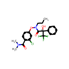 CCCN(Oc1ccc(C(=O)N(C)C)c(Cl)c1)C(=O)[C@](O)(c1ccccc1)C(F)(F)F